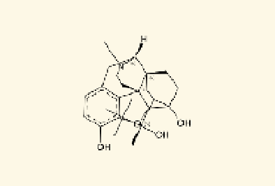 CN1CC[C@]23c4c5ccc(O)c4OC2C2(O)CC[C@]3(CC2[C@](C)(O)C(C)(C)C)[C@H]1C5